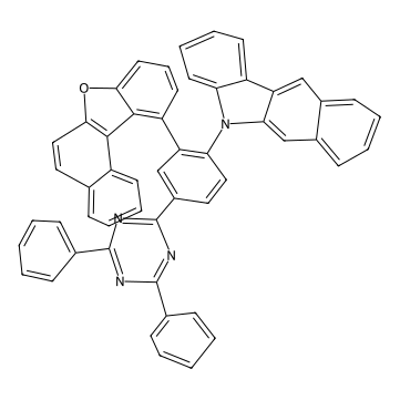 c1ccc(-c2nc(-c3ccccc3)nc(-c3ccc(-n4c5ccccc5c5cc6ccccc6cc54)c(-c4cccc5oc6ccc7ccccc7c6c45)c3)n2)cc1